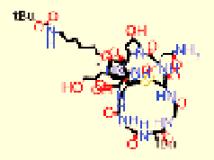 CCC(C)C1NC(=O)CNC(=O)C2Cc3c([nH]c4cc(OCCCCCCNC(=O)OC(C)(C)C)ccc34)[S+]([O-])CC(NC(=O)CNC1=O)C(=O)N[C@@H](CC(N)=O)C(=O)N1C[C@H](O)CC1C(=O)NC([C@@H](C)[C@@H](O)CO)C(=O)N2